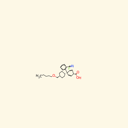 CCCCCOC[C@H]1CC[C@H](C2(c3ccccc3C#N)C=CC(C(=O)O)C=C2F)CC1